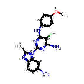 COc1ccc(Nc2nc(-n3c(C)nc4ccc(N)cc43)nc(N)c2F)cc1